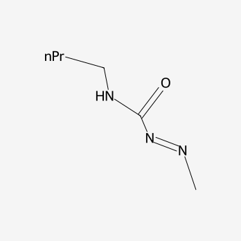 CCCCNC(=O)N=NC